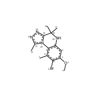 COc1cc2c(c(C)c1Br)-n1c(C)nnc1C(C)(C)N2